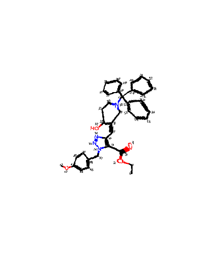 CCOC(=O)c1c(C=C2CN(C(c3ccccc3)(c3ccccc3)c3ccccc3)CCC2O)nnn1Cc1ccc(OC)cc1